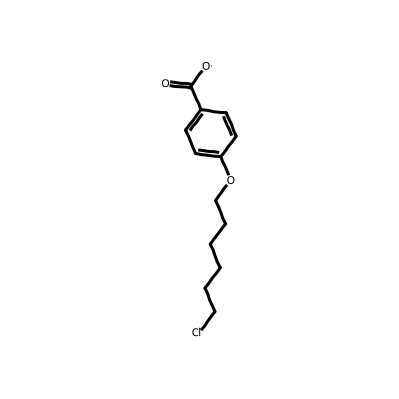 [O]C(=O)c1ccc(OCCCCCCCl)cc1